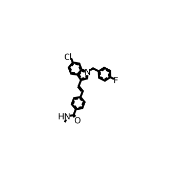 CNC(=O)c1ccc(/C=C/c2cn(Cc3ccc(F)cc3)c3cc(Cl)ccc23)cc1